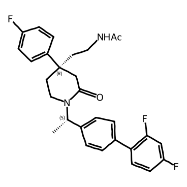 CC(=O)NCC[C@@]1(c2ccc(F)cc2)CCN([C@@H](C)c2ccc(-c3ccc(F)cc3F)cc2)C(=O)C1